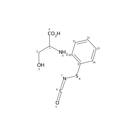 NC(CO)C(=O)O.O=C=NSc1ccccc1